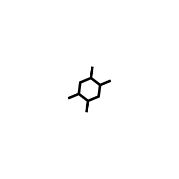 CC1CC(C)C(C)CC1C